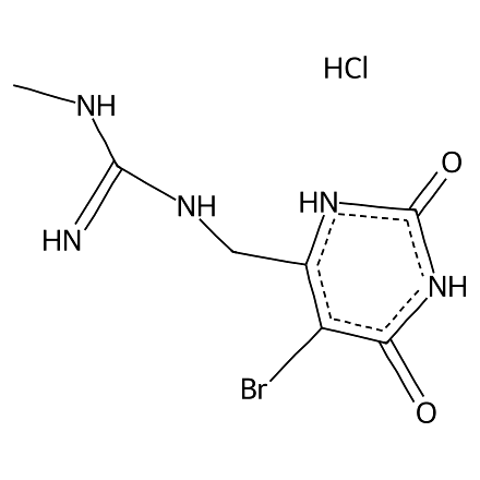 CNC(=N)NCc1[nH]c(=O)[nH]c(=O)c1Br.Cl